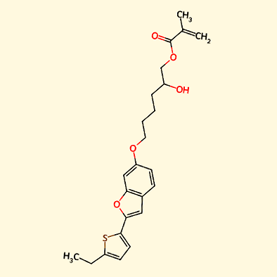 C=C(C)C(=O)OCC(O)CCCCOc1ccc2cc(-c3ccc(CC)s3)oc2c1